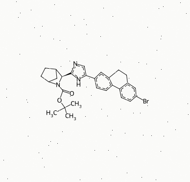 CC(C)(C)OC(=O)N1C2CCC(C2)[C@H]1c1ncc(-c2ccc3c(c2)CCc2cc(Br)ccc2-3)[nH]1